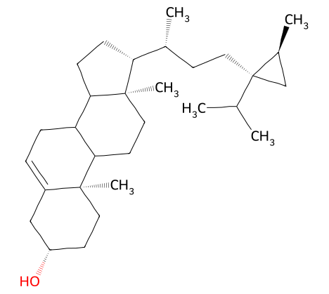 CC(C)[C@]1(CC[C@@H](C)[C@H]2CCC3C4CC=C5C[C@@H](O)CC[C@]5(C)C4CC[C@@]32C)C[C@@H]1C